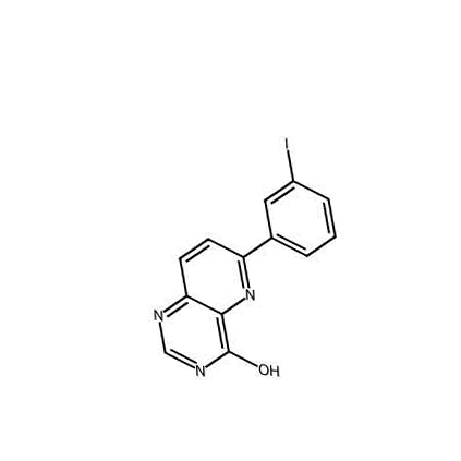 Oc1ncnc2ccc(-c3cccc(I)c3)nc12